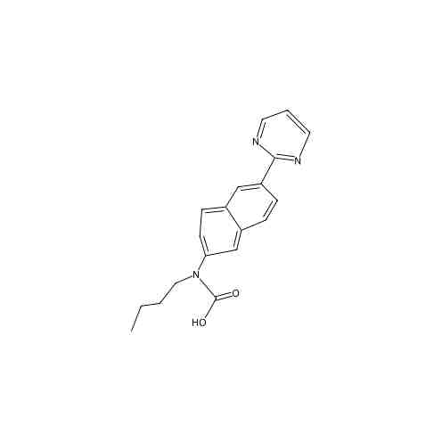 CCCCN(C(=O)O)c1ccc2cc(-c3ncccn3)ccc2c1